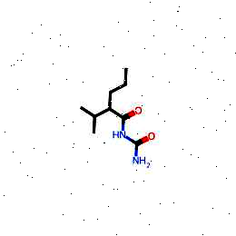 CCCC(C(=O)NC(N)=O)C(C)C